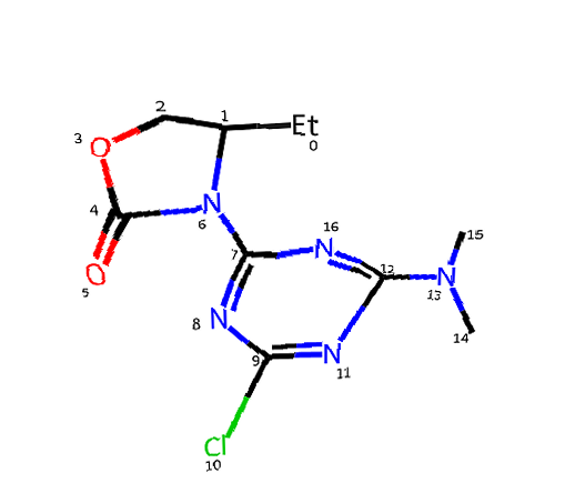 CCC1COC(=O)N1c1nc(Cl)nc(N(C)C)n1